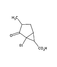 CCC12C(=O)C(C)CC1C2C(=O)O